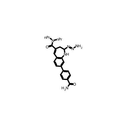 CCCN(CCC)C(=O)C1=Cc2ccc(-c3ccc(C(N)=O)cc3)cc2NC(N=NN)C1